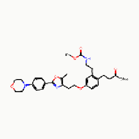 COC(=O)CCc1ccc(OCCc2nc(-c3ccc(N4CCOCC4)cc3)oc2C)cc1CCNC(=O)OC(C)C